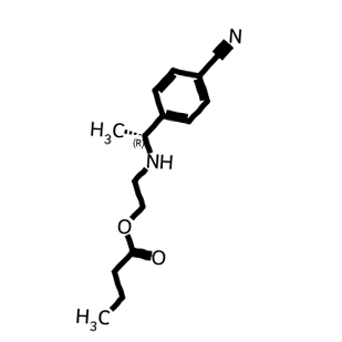 CCCC(=O)OCCN[C@H](C)c1ccc(C#N)cc1